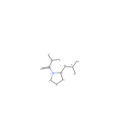 C=C(C(C)C)N1CCCC1CC(C)C